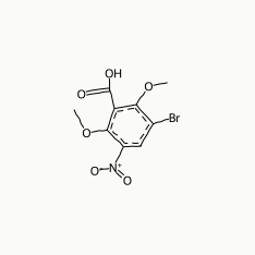 COc1c(Br)cc([N+](=O)[O-])c(OC)c1C(=O)O